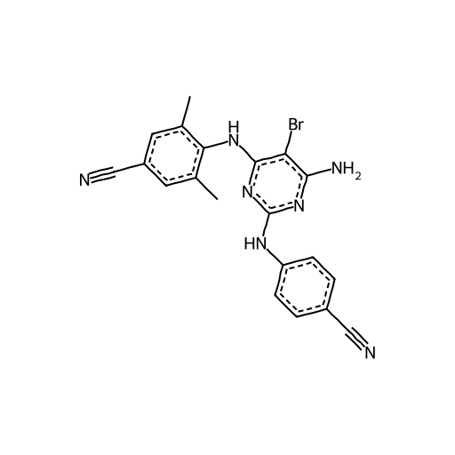 Cc1cc(C#N)cc(C)c1Nc1nc(Nc2ccc(C#N)cc2)nc(N)c1Br